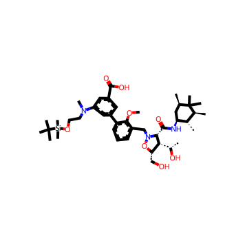 COc1c(CN2O[C@@H](CO)[C@@H]([C@H](C)O)[C@H]2C(=O)N[C@H]2C[C@@H](C)C(C)(C)[C@@H](C)[C@@H]2C)cccc1-c1cc(C(=O)O)cc(N(C)CCO[Si](C)(C)C(C)(C)C)c1